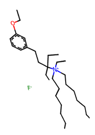 CCCCCCCC[N+](CC)(CCCCCCC)C(CC)(CC)CCc1cccc(OCC)c1.[F-]